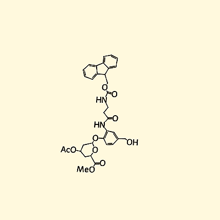 COC(=O)C1CC(OC(C)=O)CC(Oc2ccc(CO)cc2NC(=O)CCNC(=O)OCC2c3ccccc3-c3ccccc32)O1